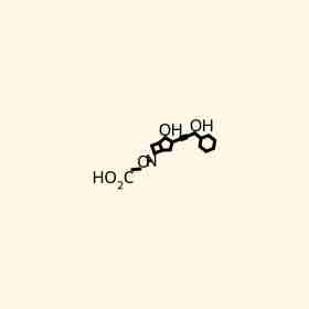 O=C(O)CCON=C1CC2C1CC(C#CC(O)C1CCCCC1)C2O